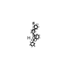 CC1(OCc2ccccc2)CCCCN1CC1CCN(c2cccc(F)c2)C1